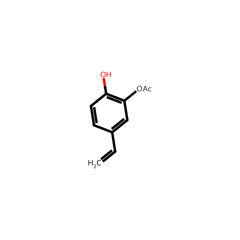 C=Cc1ccc(O)c(OC(C)=O)c1